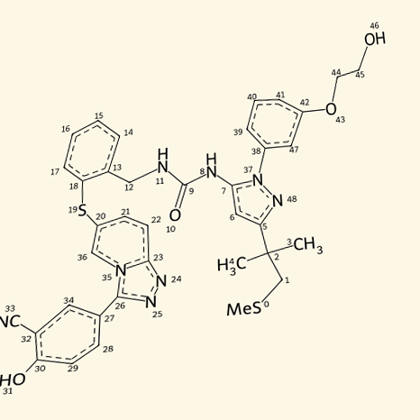 CSCC(C)(C)c1cc(NC(=O)NCc2ccccc2Sc2ccc3nnc(-c4ccc(O)c(C#N)c4)n3c2)n(-c2cccc(OCCO)c2)n1